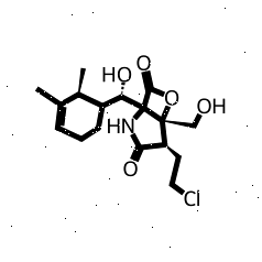 CC1=CCCC([C@H](O)C23NC(=O)[C@H](CCCl)[C@@]2(CO)OC3=O)[C@@H]1C